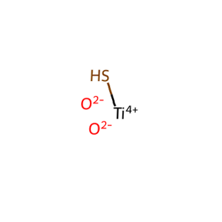 [O-2].[O-2].[SH][Ti+4]